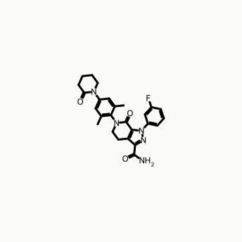 Cc1cc(N2CCCCC2=O)cc(C)c1N1CCc2c(C(N)=O)nn(-c3cccc(F)c3)c2C1=O